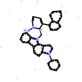 NN1C=CC=C(c2cccc3ccccc23)[C@H]1Cn1c2ccccc2c2ccc3c(ccn3-c3ccccc3)c21